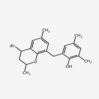 Cc1cc(C)c(O)c(Cc2cc(C)cc3c2OC(C)CC3C(C)C)c1